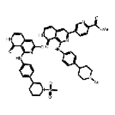 CNC(=O)c1ccc(-c2cc3cc[nH]c(=O)c3c(Nc3ccc(C4CCN(C(C)=O)CC4)cc3)n2)cn1.CS(=O)(=O)N1CCCC(c2ccc(Nc3nc(Cl)cc4cc[nH]c(=O)c34)cc2)C1